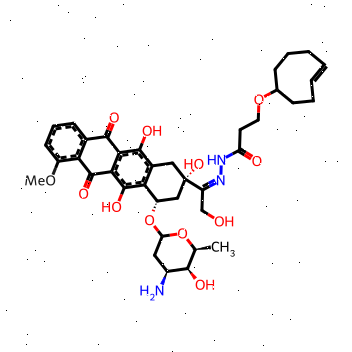 COc1cccc2c1C(=O)c1c(O)c3c(c(O)c1C2=O)C[C@@](O)(/C(CO)=N\NC(=O)CCOC1CC/C=C/CCC1)C[C@@H]3OC1C[C@H](N)[C@H](O)[C@H](C)O1